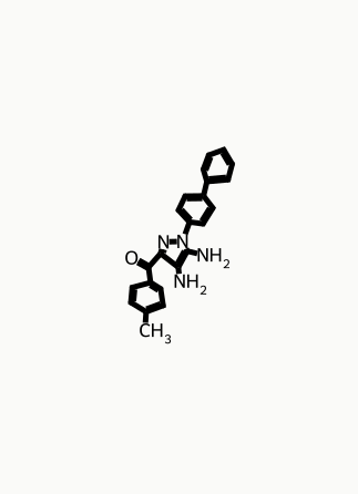 Cc1ccc(C(=O)c2nn(-c3ccc(-c4ccccc4)cc3)c(N)c2N)cc1